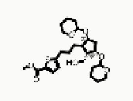 COC(=O)c1ccc(CCCC2[C@@H](OC3CCCCO3)C[C@@H](OC3CCCCO3)[C@@H]2CO)s1